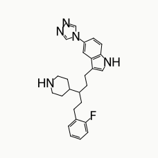 Fc1ccccc1CCC(CCc1c[nH]c2ccc(-n3cnnc3)cc12)C1CCNCC1